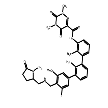 COc1cc(-c2cccc(-c3cccc(NC(=O)c4nn(C)c(=O)n(C)c4=O)c3C)c2C)cc(F)c1CNCC1CCC(=O)N1C